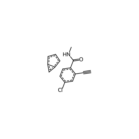 C#Cc1cc(Cl)ccc1C(=O)NC.c1cc2cc-2c1